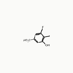 Cc1c(O)cc(C(=O)O)cc1F